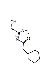 CS/C(N)=N/C(=O)CC1CCCCC1